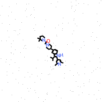 Cc1cc(-c2[nH]c3ccc(C4CCN(CC(=O)N5CCCC(C)(C)C5)CC4)cc3c2C(C)C)cc(C)n1